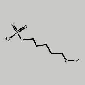 CCCOCCCCCOS(C)(=O)=O